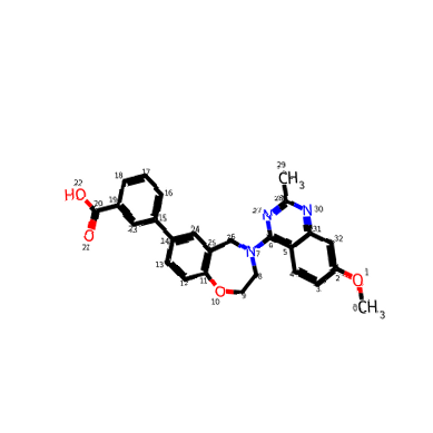 COc1ccc2c(N3CCOc4ccc(-c5cccc(C(=O)O)c5)cc4C3)nc(C)nc2c1